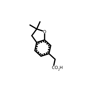 CC1(C)Cc2ccc(CC(=O)O)cc2O1